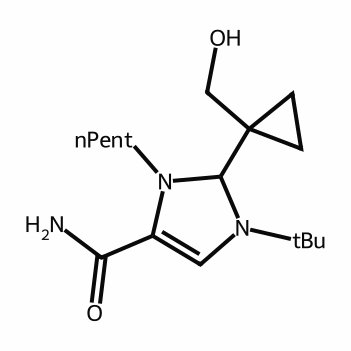 CCCCCN1C(C(N)=O)=CN(C(C)(C)C)C1C1(CO)CC1